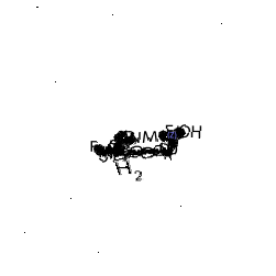 CC/C(=C(\c1ccc(O)cc1)c1ccc(OCCN(C)C(=O)COCCOCCOCC[SiH2]C2C[C@@H](c3nc(C(=O)c4ccc(F)cc4)cs3)N(C(=O)[C@@H](NC(=O)[C@H](C)NC)C3CCCCC3)C2)cc1)c1ccccc1